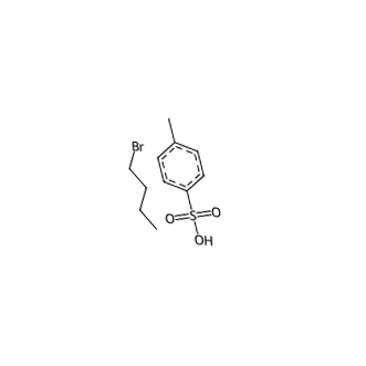 CCCCBr.Cc1ccc(S(=O)(=O)O)cc1